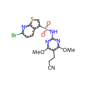 COc1nc(NS(=O)(=O)c2csc3nc(Br)ccc23)nc(OC)c1CCC#N